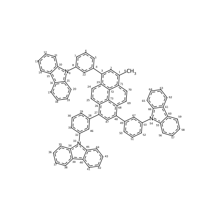 Cc1cc(-c2cccc(-n3c4ccccc4c4ccccc43)c2)c2ccc3c(-c4cccc(-n5c6ccccc6c6ccccc65)c4)cc(-c4cccc(-n5c6ccccc6c6ccccc65)c4)c4ccc1c2c43